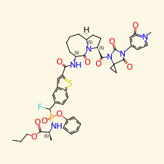 CCCOC(=O)[C@H](C)NP(=O)(Oc1ccccc1)C(F)c1ccc2sc(C(=O)N[C@H]3CCCC[C@H]4CC[C@@H](C(=O)N5C(=O)N(c6ccn(C)c(=O)c6)C(=O)C56CC6)N4C3=O)cc2c1